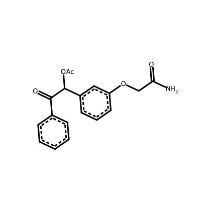 CC(=O)OC(C(=O)c1ccccc1)c1cccc(OCC(N)=O)c1